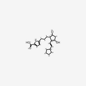 O=C(O)c1ccc(CCC[C@H]2C(Cl)C[C@@H](O)C2/C=C/C2CCCC2)s1